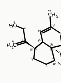 C=C(CO)[C@@H]1CC[C@@H](C)[C@@H]2CCC(C)=CC21